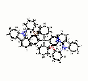 c1ccc([Si](c2ccccc2)(c2cccc3c2oc2c(-n4c5ccccc5c5cccnc54)cccc23)c2cccc3c2sc2c(-n4c5ccccc5c5ccccc54)cccc23)cc1